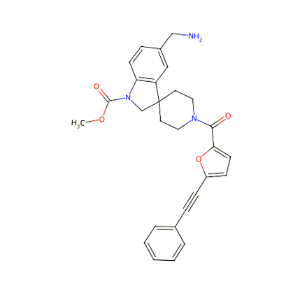 COC(=O)N1CC2(CCN(C(=O)c3ccc(C#Cc4ccccc4)o3)CC2)c2cc(CN)ccc21